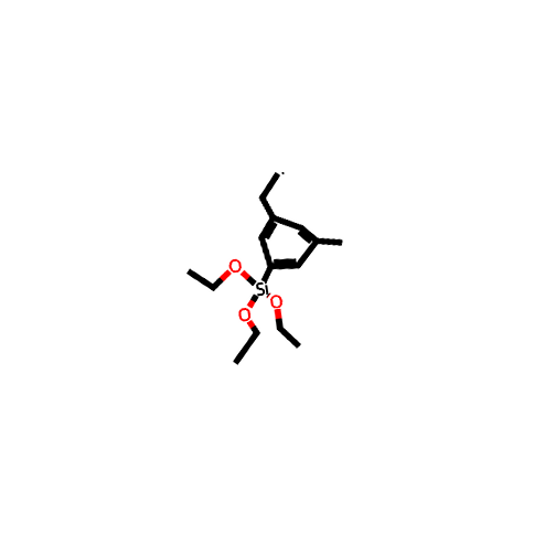 [CH2]Cc1cc(C)cc([Si](OCC)(OCC)OCC)c1